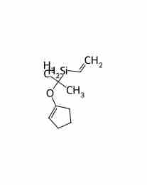 C=C[SiH2]C(C)(C)OC1=CCCC1